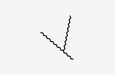 [CH2]CCCCCC(CCCCCCCCCCCCC)CCCCCCCCCCCCCCCC